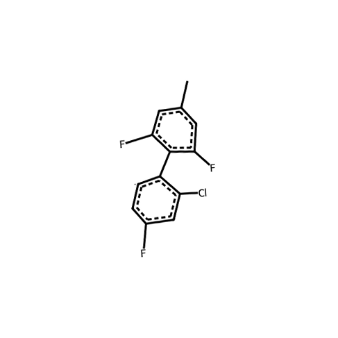 Cc1cc(F)c(-c2[c]cc(F)cc2Cl)c(F)c1